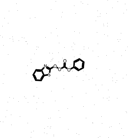 O=C(OOc1nc2ccccc2s1)Oc1ccccc1